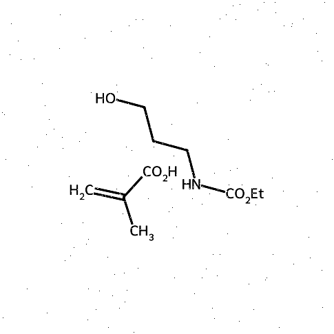 C=C(C)C(=O)O.CCOC(=O)NCCCO